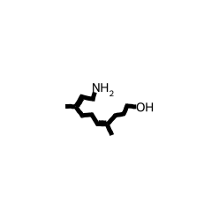 CC(=CCN)CCC=C(C)CCCO